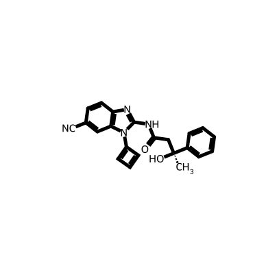 C[C@](O)(CC(=O)Nc1nc2ccc(C#N)cc2n1C1=CC=C1)c1ccccc1